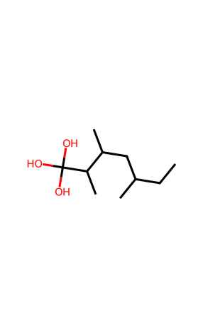 CCC(C)CC(C)C(C)C(O)(O)O